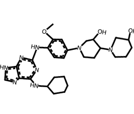 COc1cc(N2CCC(N3CCCC(O)C3)C(O)C2)ccc1Nc1nc(NC2CCCCC2)c2nc[nH]c2n1